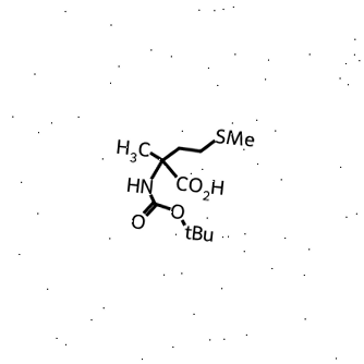 CSCCC(C)(NC(=O)OC(C)(C)C)C(=O)O